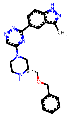 Cc1n[nH]c2ccc(-c3nncc(N4CCN[C@@H](COCc5ccccc5)C4)n3)cc12